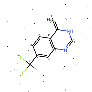 C=C1NC=Nc2cc(C(F)(F)F)ccc21